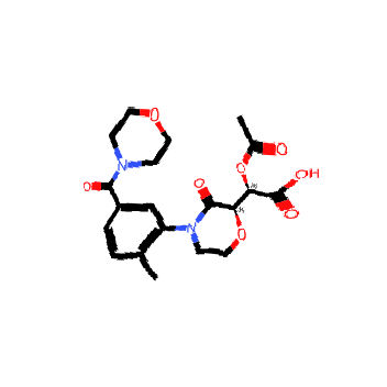 CC(=O)O[C@@H](C(=O)O)[C@H]1OCCN(c2cc(C(=O)N3CCOCC3)ccc2C)C1=O